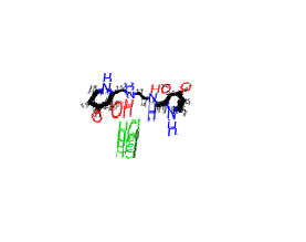 Cl.Cl.Cl.Cl.O=c1cc[nH]c(CNCCNCc2[nH]ccc(=O)c2O)c1O